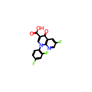 O=C(O)c1cn(-c2ccc(F)cc2F)c2ncc(F)cc2c1=O